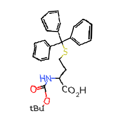 CC(C)(C)OC(=O)NC(CCSC(c1ccccc1)(c1ccccc1)c1ccccc1)C(=O)O